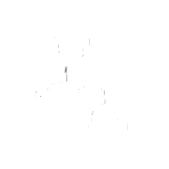 CCC(C(=O)O)=C(C#N)c1ccc(OC)c(Cl)c1